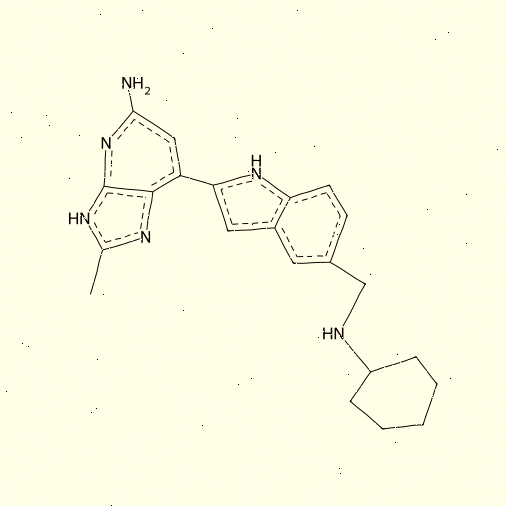 Cc1nc2c(-c3cc4cc(CNC5CCCCC5)ccc4[nH]3)cc(N)nc2[nH]1